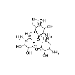 CC1O[C@@H](O[C@@H]2C(O)C(N)CC(N)C2O[C@H]2OC(CN)[C@@H](O)C(O)C2N)C(O)C(O)[C@@H]1N